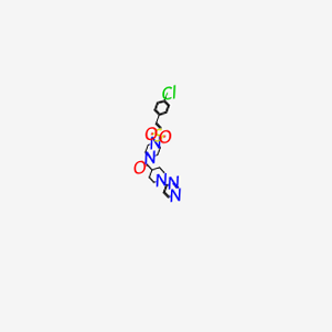 O=C(C1CCN(c2ccncn2)CC1)N1CCN(S(=O)(=O)C=Cc2ccc(Cl)cc2)CC1